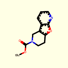 CC(C)(C)OC(=O)N1CCc2oc3ncccc3c2C1